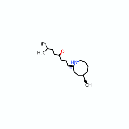 C#CC1CCCCN/C(=C\CCC(=O)CCC(C)C(C)C)CC1